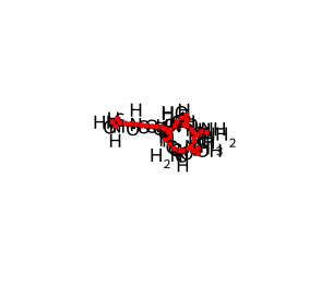 C[C@H]1NC(=O)[C@@H](NC(=O)COCCOCCOCCNC(=O)CCCC[C@H]2SC[C@H]3NC(=O)N[C@H]32)Cc2cn(nn2)CCCC[C@@H](C(N)=O)NC(=O)[C@@H](Cc2ccc(O)cc2)NC(=O)[C@@H](C)NC(=O)[C@@H](CCCNC(=N)N)NC(=O)[C@@H](Cc2ccc(O)cc2)NC1=O